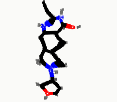 Cc1nc2cc3c(cc2c(=O)[nH]1)CN(C1CCOC1)C3